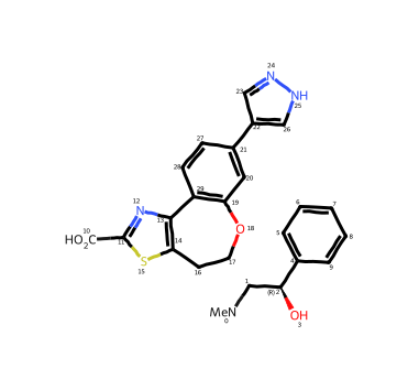 CNC[C@H](O)c1ccccc1.O=C(O)c1nc2c(s1)CCOc1cc(-c3cn[nH]c3)ccc1-2